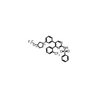 O=S(=O)(Nc1ncc(-c2cccc([C@H]3CC[C@@H](OC(F)(F)F)C3)c2)c(-c2ccccc2C(F)(F)F)n1)c1ccccc1